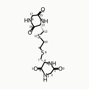 O=C1CNC(=O)[C@H](CSCCSC[C@H]2NC(=O)CNC2=O)N1